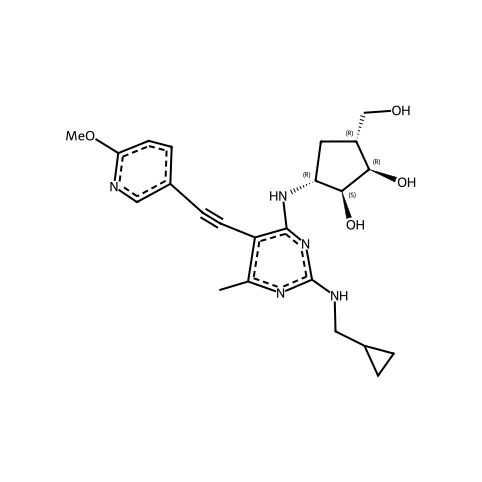 COc1ccc(C#Cc2c(C)nc(NCC3CC3)nc2N[C@@H]2C[C@H](CO)[C@@H](O)[C@H]2O)cn1